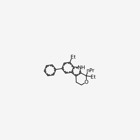 CCCC1(CC)OCCc2c1[nH]c1c(CC)cc(-c3ccccc3)cc21